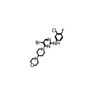 Fc1ccc(Nc2ncc(Br)c(N3CCC(N4CCOCC4)CC3)n2)cc1Cl